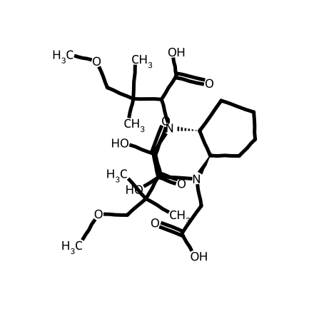 COCC(C)(C)C(C(=O)O)N(CC(=O)O)[C@@H]1CCCC[C@H]1N(CC(=O)O)C(C(=O)O)C(C)(C)COC